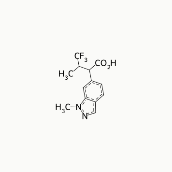 CC(C(C(=O)O)c1ccc2cnn(C)c2c1)C(F)(F)F